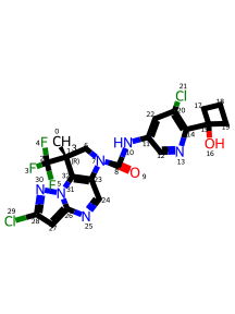 C[C@@]1(C(F)(F)F)CN(C(=O)Nc2cnc(C3(O)CCC3)c(Cl)c2)c2cnc3cc(Cl)nn3c21